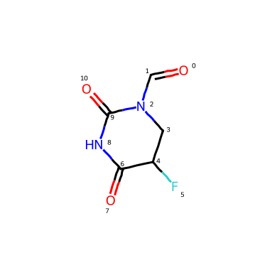 O=CN1CC(F)C(=O)NC1=O